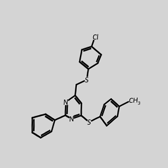 Cc1ccc(Sc2cc(CSc3ccc(Cl)cc3)nc(-c3ccccc3)n2)cc1